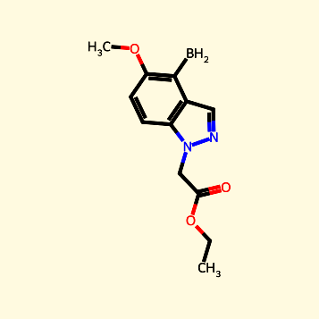 Bc1c(OC)ccc2c1cnn2CC(=O)OCC